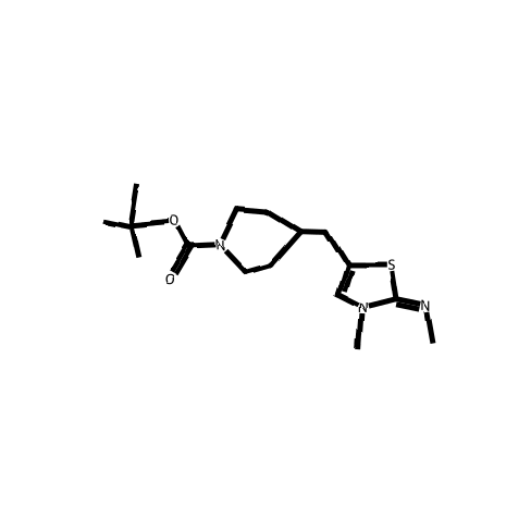 CN=c1sc(CC2CCN(C(=O)OC(C)(C)C)CC2)cn1C